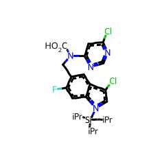 CC(C)[Si](C(C)C)(C(C)C)n1cc(Cl)c2cc(CN(C(=O)O)c3cc(Cl)ncn3)c(F)cc21